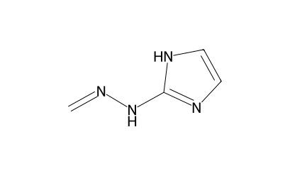 C=NNc1ncc[nH]1